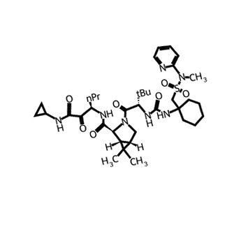 CCC[C@@H](NC(=O)[C@@H]1[C@@H]2[C@H](CN1C(=O)[C@@H](NC(=O)NC1(CS(=O)(=O)N(C)c3ccccn3)CCCCC1)C(C)(C)C)C2(C)C)C(=O)C(=O)NC1CC1